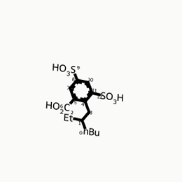 CCCCC(CC)Cc1c(C(=O)O)cc(S(=O)(=O)O)cc1S(=O)(=O)O